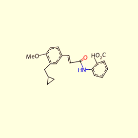 COc1ccc(/C=C/C(=O)Nc2ccccc2C(=O)O)cc1CC1CC1